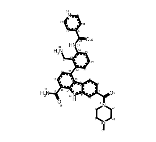 CN1CCN(C(=O)c2ccc3c(c2)[nH]c2c(C(N)=O)ccc(-c4cccc(NC(=O)c5ccncc5)c4CN)c23)CC1